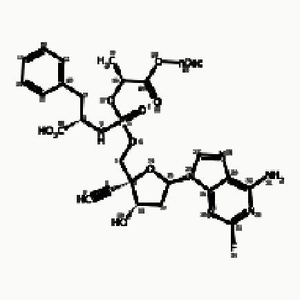 C#C[C@]1(COP(=O)(N[C@@H](Cc2ccccc2)C(=O)O)O[C@@H](C)C(=O)OCCCCCCCCCC)O[C@@H](n2cnc3c(N)nc(F)nc32)C[C@@H]1O